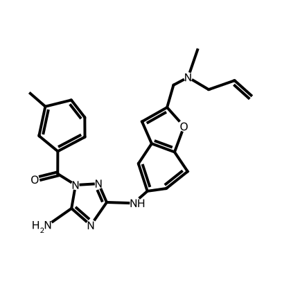 C=CCN(C)Cc1cc2cc(Nc3nc(N)n(C(=O)c4cccc(C)c4)n3)ccc2o1